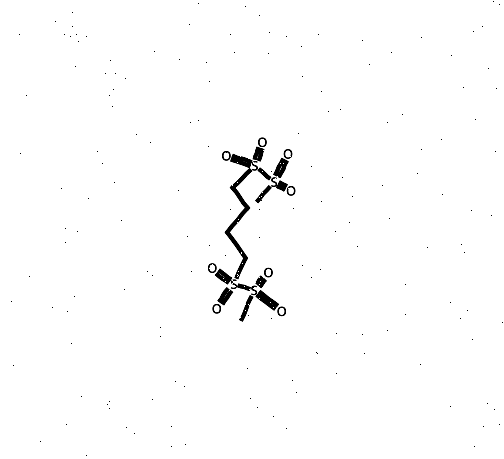 CS(=O)(=O)S(=O)(=O)CCCCS(=O)(=O)S(C)(=O)=O